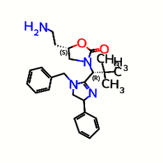 CC(C)(C)[C@H](C1=NC(c2ccccc2)CN1Cc1ccccc1)N1C[C@H](CCN)OC1=O